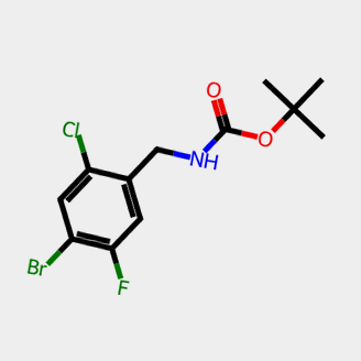 CC(C)(C)OC(=O)NCc1cc(F)c(Br)cc1Cl